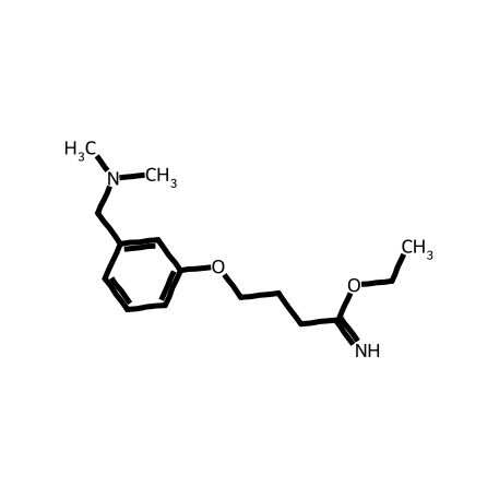 CCOC(=N)CCCOc1cccc(CN(C)C)c1